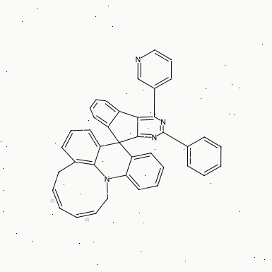 C1=C\Cc2cccc3c2N(C\C=C/1)c1ccccc1C31c2ccccc2-c2c(-c3cccnc3)nc(-c3ccccc3)nc21